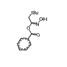 CC(C)(C)CC(=NO)OC(=O)c1ccccc1